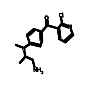 CC(CN)N(C)c1ccc(C(=O)c2cccnc2Cl)cc1